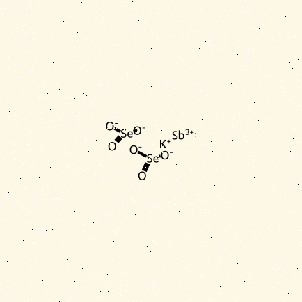 O=[Se]([O-])[O-].O=[Se]([O-])[O-].[K+].[Sb+3]